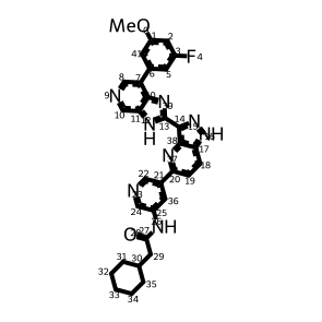 COc1cc(F)cc(-c2cncc3[nH]c(-c4n[nH]c5ccc(-c6cncc(NC(=O)CC7CCCCC7)c6)nc45)nc23)c1